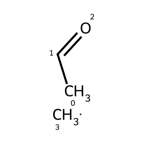 CC=O.[CH3]